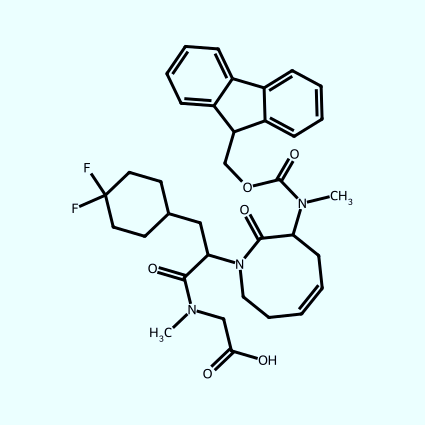 CN(CC(=O)O)C(=O)C(CC1CCC(F)(F)CC1)N1CCC=CCC(N(C)C(=O)OCC2c3ccccc3-c3ccccc32)C1=O